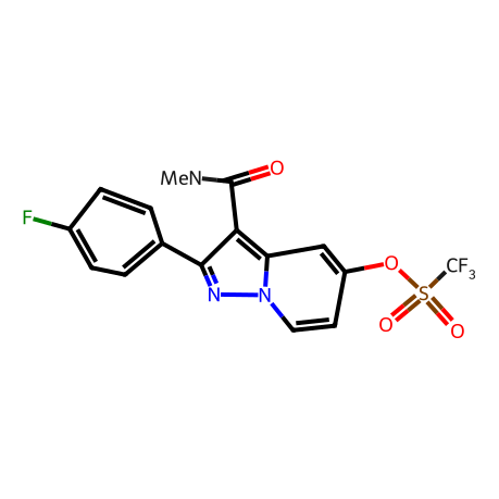 CNC(=O)c1c(-c2ccc(F)cc2)nn2ccc(OS(=O)(=O)C(F)(F)F)cc12